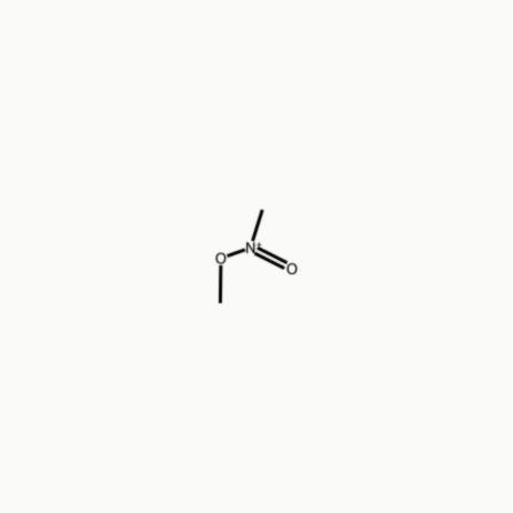 CO[N+](C)=O